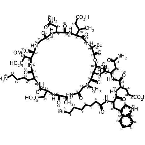 CCC(C)CCCCCCC(=O)NC(Cc1c[nH]c2ccccc12)C(=O)NC(CCC(=O)O)C(=O)NC(CC(N)=O)C(=O)NC1C(=O)N(C)CC(=O)NC(C)C(=O)NC(CC(=O)O)C(=O)NC(CCCCN)C(=O)NC(C(OC)C(=O)O)C(=O)NCC(=O)NC(CC(N)=O)C(=O)NC(C(C)CC(=O)O)C(=O)NC(C(C)CC)C(=O)OC1C